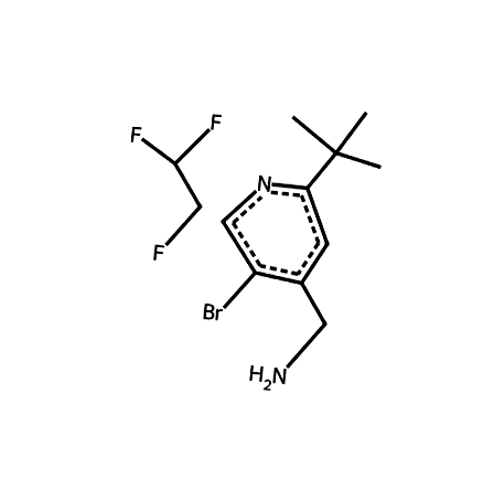 CC(C)(C)c1cc(CN)c(Br)cn1.FCC(F)F